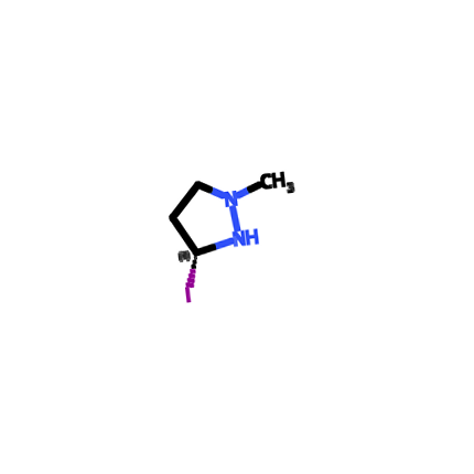 CN1CC[C@@H](I)N1